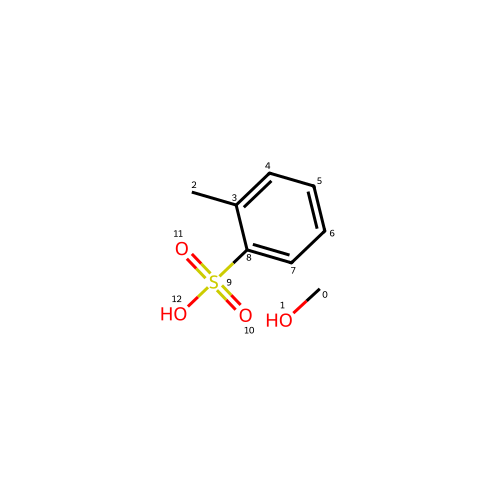 CO.Cc1ccccc1S(=O)(=O)O